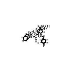 CCC1(C(=O)O[C@H](C)OC(=O)[C@@]2(N)[C@H]3[C@@H](C[C@H]2OCc2ccc(F)cc2)[C@]3(F)C(=O)O)CC2CCCC(C2)C1